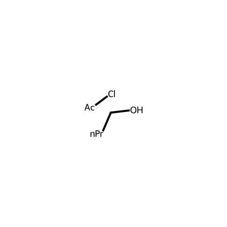 CC(=O)Cl.CCCCO